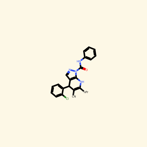 CCCC1=C(C#N)C(c2ccccc2Cl)c2cnn(C(=O)Nc3ccccc3)c2N1